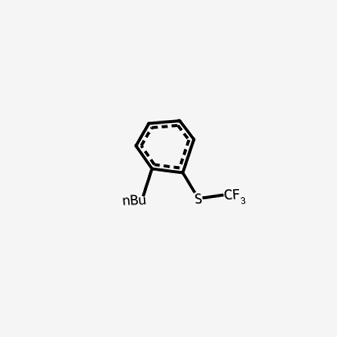 [CH2]CCCc1ccccc1SC(F)(F)F